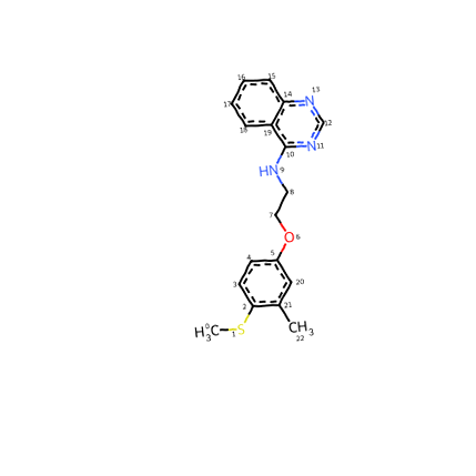 CSc1ccc(OCCNc2ncnc3ccccc23)cc1C